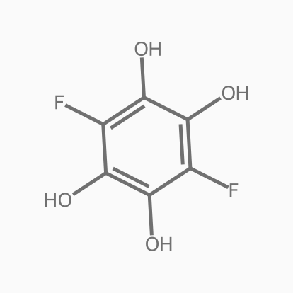 Oc1c(O)c(F)c(O)c(O)c1F